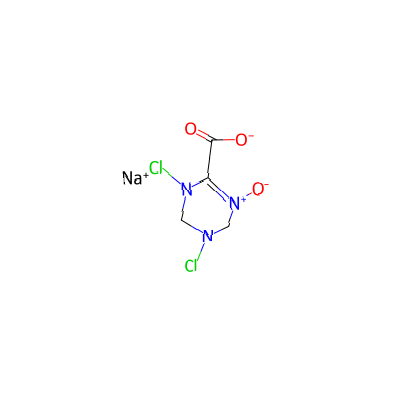 O=C([O-])C1=[N+]([O-])CN(Cl)CN1Cl.[Na+]